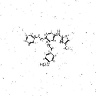 Cc1csc(Nc2cnc(OCc3ccccc3)c(OCc3ccccc3)c2)n1.Cl